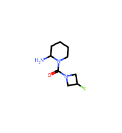 NC1CCCCN1C(=O)N1CC(F)C1